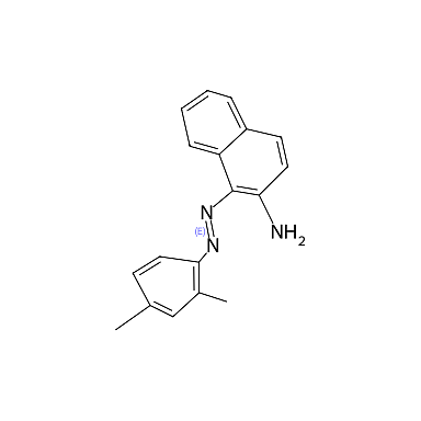 Cc1ccc(/N=N/c2c(N)ccc3ccccc23)c(C)c1